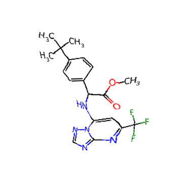 COC(=O)C(Nc1cc(C(F)(F)F)nc2ncnn12)c1ccc(C(C)(C)C)cc1